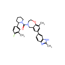 Cc1nc2ccc(-c3cc(C)c4c(c3)CN(C(=O)N3CCCCC3c3ccc(F)c(C)c3)CCO4)cc2[nH]1